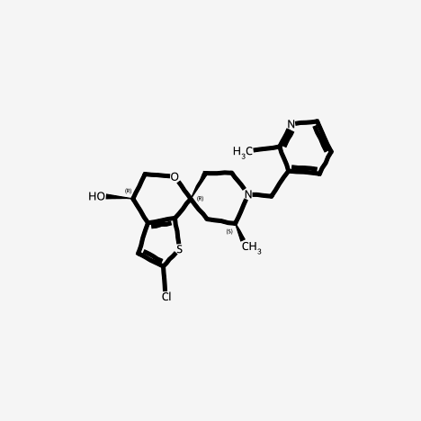 Cc1ncccc1CN1CC[C@]2(C[C@@H]1C)OC[C@H](O)c1cc(Cl)sc12